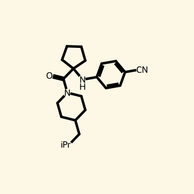 CC(C)CC1CCN(C(=O)C2(Nc3ccc(C#N)cc3)CCCC2)CC1